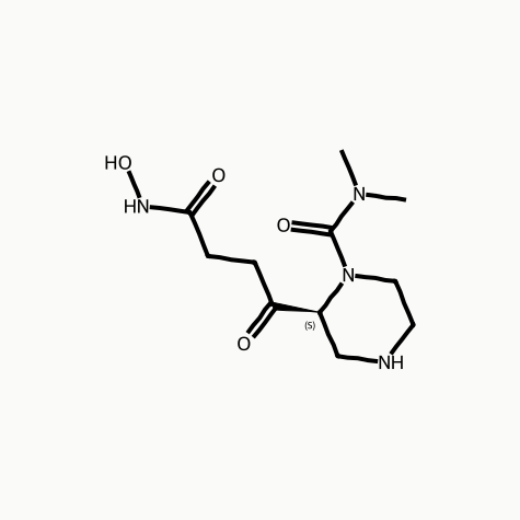 CN(C)C(=O)N1CCNC[C@H]1C(=O)CCC(=O)NO